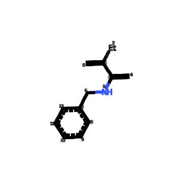 C=C(CC)C(=C)NCc1ccccc1